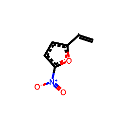 C=[C]c1ccc([N+](=O)[O-])o1